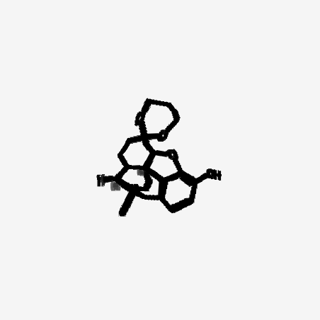 CN1CC[C@]23c4c5ccc(O)c4OC2C2(CCC3[C@H]1C5)OCCCO2